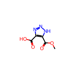 COC(=O)c1[nH]nnc1C(=O)O